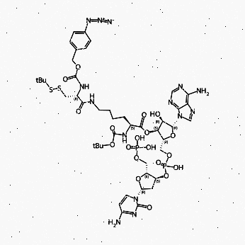 CC(C)(C)OC(=O)N[C@@H](CCCCNC(=O)[C@H](CSSC(C)(C)C)NC(=O)OCc1ccc(N=[N+]=[N-])cc1)C(=O)O[C@H]1[C@@H](O)[C@H](n2cnc3c(N)ncnc32)O[C@@H]1COP(=O)(O)O[C@H]1C[C@H](n2ccc(N)nc2=O)O[C@@H]1COP(=O)(O)O